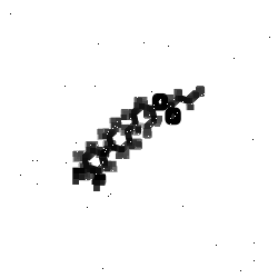 C=CCC(=O)O[C@H]1CC[C@H]([C@H]2CC[C@H](c3ccc(F)c(F)c3)CC2)CC1